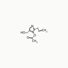 C=CCc1ncc(CO)n1OC(C)=O